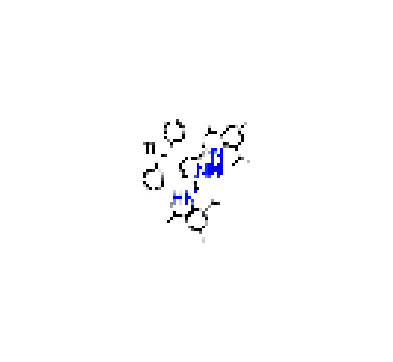 C/C(Nc1c(C(C)C)cc(C)cc1C(C)C)=C1\CC=C/C(=C(/C)Nc2c(C(C)C)cc(C)cc2C(C)C)N1.[Ti].c1ccc(CCc2ccccc2)cc1